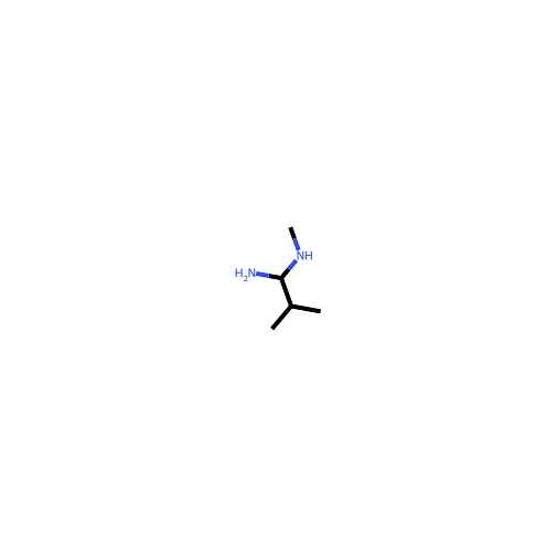 CNC(N)C(C)C